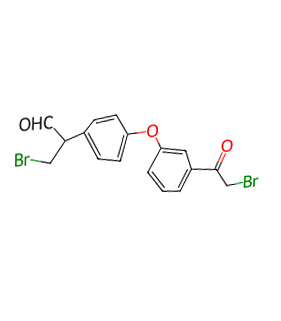 O=CC(CBr)c1ccc(Oc2cccc(C(=O)CBr)c2)cc1